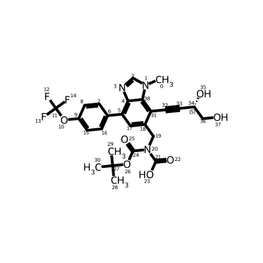 Cn1cnc2c(-c3ccc(OC(F)(F)F)cc3)cc(CN(C(=O)O)C(=O)OC(C)(C)C)c(C#C[C@H](O)CO)c21